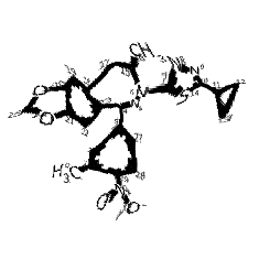 Cc1cc(C2=NN(c3nnc(C4CC4)s3)C(C)Cc3cc4c(cc32)OCO4)ccc1[N+](=O)[O-]